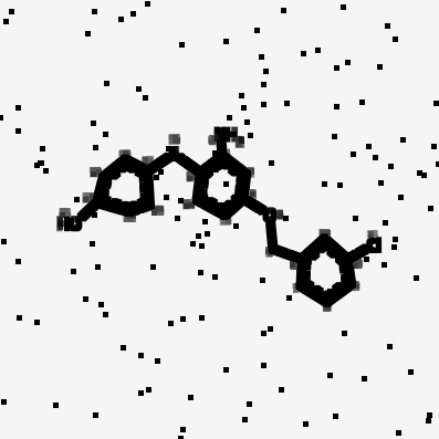 Nc1cc(OCc2cccc(Cl)c2)ccc1Sc1ccc(O)cc1